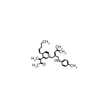 C=C(C)/C=C(\CNc1ccc(C)cc1)CN1C#CC(/C=C\CCC)C(C(=C)C(C)=O)=C1